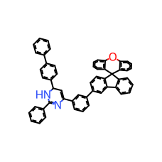 C1=C(c2cccc(-c3ccc4c(c3)-c3ccccc3C43c4ccccc4Oc4ccccc43)c2)N=C(c2ccccc2)NC1c1ccc(-c2ccccc2)cc1